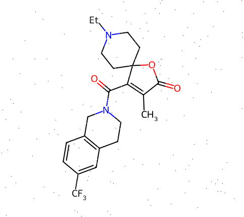 CCN1CCC2(CC1)OC(=O)C(C)=C2C(=O)N1CCc2cc(C(F)(F)F)ccc2C1